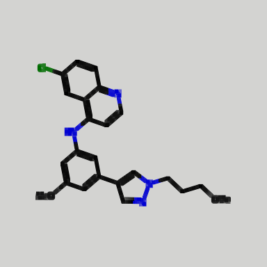 COCCCn1cc(-c2cc(Nc3ccnc4ccc(Cl)cc34)cc(OC)c2)cn1